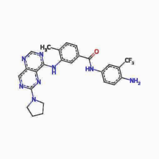 Cc1ccc(C(=O)Nc2ccc(N)c(C(F)(F)F)c2)cc1Nc1ncnc2cnc(N3CCCC3)nc12